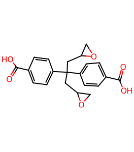 O=C(O)c1ccc(C(CC2CO2)(CC2CO2)c2ccc(C(=O)O)cc2)cc1